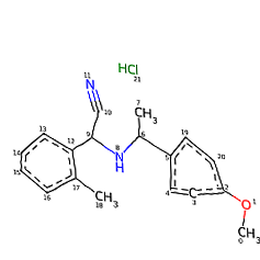 COc1ccc(C(C)NC(C#N)c2ccccc2C)cc1.Cl